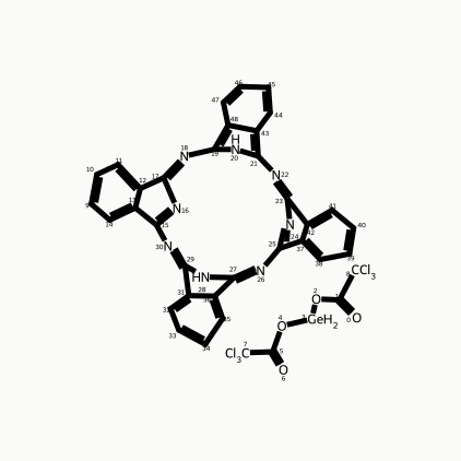 O=C([O][GeH2][O]C(=O)C(Cl)(Cl)Cl)C(Cl)(Cl)Cl.c1ccc2c(c1)-c1nc-2nc2[nH]c(nc3nc(nc4[nH]c(n1)c1ccccc41)-c1ccccc1-3)c1ccccc21